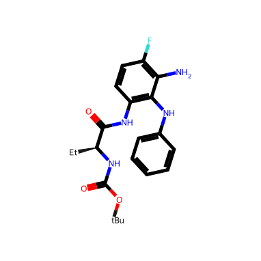 CC[C@H](NC(=O)OC(C)(C)C)C(=O)Nc1ccc(F)c(N)c1Nc1ccccc1